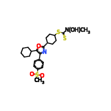 CN(O)C(=S)SC1CCC(c2nc(-c3ccc(S(C)(=O)=O)cc3)c(C3CCCCC3)o2)CC1